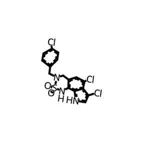 O=S1(=O)Nc2c(cc(Cl)c3c(Cl)c[nH]c23)CN1Cc1ccc(Cl)cc1